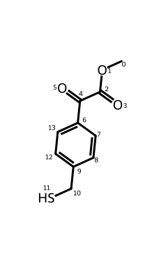 COC(=O)C(=O)c1ccc(CS)cc1